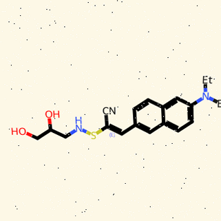 CCN(CC)c1ccc2cc(/C=C(\C#N)SNCC(O)CO)ccc2c1